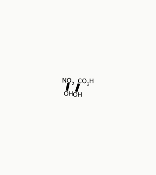 O=C(O)O.O=[N+]([O-])O